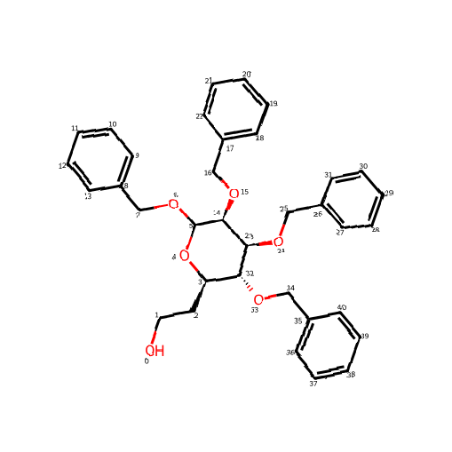 OCC[C@H]1OC(OCc2ccccc2)[C@@H](OCc2ccccc2)[C@@H](OCc2ccccc2)[C@@H]1OCc1ccccc1